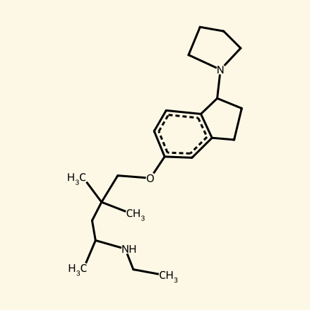 CCNC(C)CC(C)(C)COc1ccc2c(c1)CCC2N1CCCC1